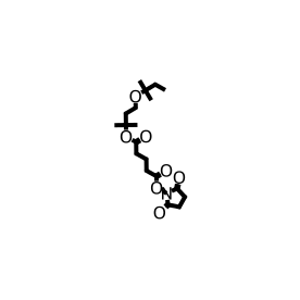 CCC(C)(C)OCCC(C)(C)OC(=O)CCCC(=O)ON1C(=O)CCC1=O